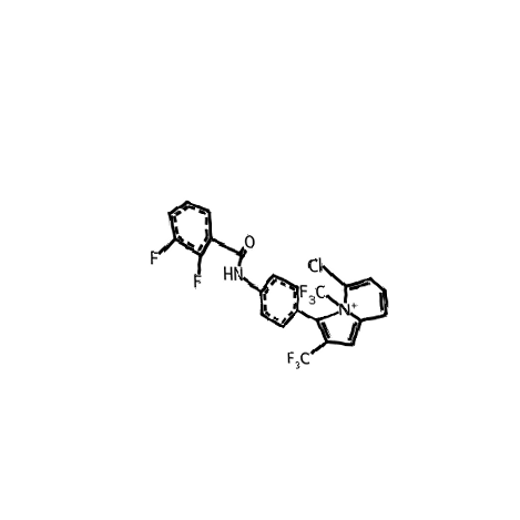 O=C(Nc1ccc(C2=C(C(F)(F)F)C=C3C=CC=C(Cl)[N+]32C(F)(F)F)cc1)c1cccc(F)c1F